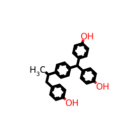 CC(Cc1ccc(O)cc1)c1ccc(C(c2ccc(O)cc2)c2ccc(O)cc2)cc1